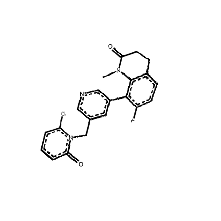 CN1C(=O)CCc2ccc(F)c(-c3cncc(Cn4c(Cl)cccc4=O)c3)c21